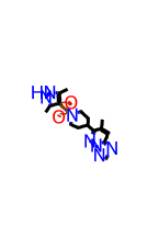 Cc1cc2ncnn2nc1C1CCN(S(=O)(=O)c2c(C)n[nH]c2C)CC1